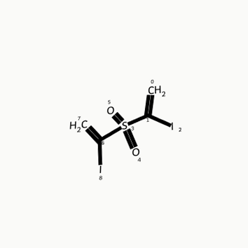 C=C(I)S(=O)(=O)C(=C)I